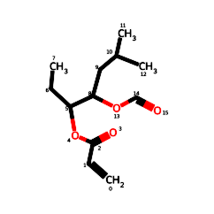 C=CC(=O)OC(CC)C(CC(C)C)OC=O